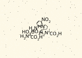 CC(=O)O.C[C@H](N)C(=O)O.C[C@H](N)C(=O)O.Nc1ccc([N+](=O)[O-])cc1.O=C(O)[C@@H]1CCCN1